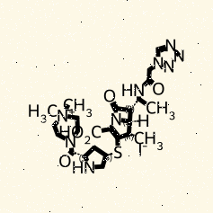 CC(NC(=O)Cn1cnnn1)[C@H]1C(=O)N2C(C(=O)O)=C(S[C@@H]3CN[C@H](C(=O)N4CC[N+](C)(C)CC4)C3)[C@H](C)[C@H]12.[I-]